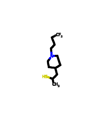 CC(S)CC1CCN(CCCC(F)(F)F)CC1